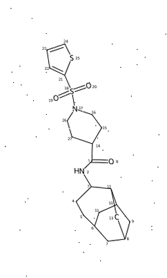 O=C(NC1CCC2CC3CC(C2)C1C3)C1CCN(S(=O)(=O)c2cccs2)CC1